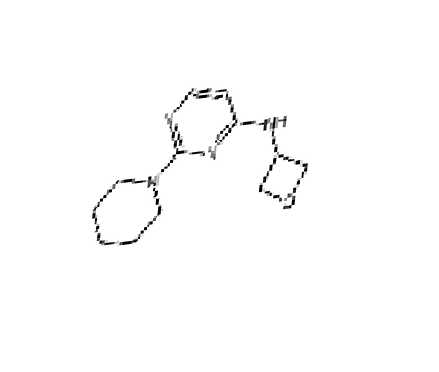 c1cc(NC2COC2)nc(N2CCCCC2)n1